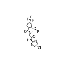 O=C(CN1C[C@@]2(C[C@H]2F)c2cc(C(F)(F)F)ccc2C1=O)Nc1ncc(Cl)cn1